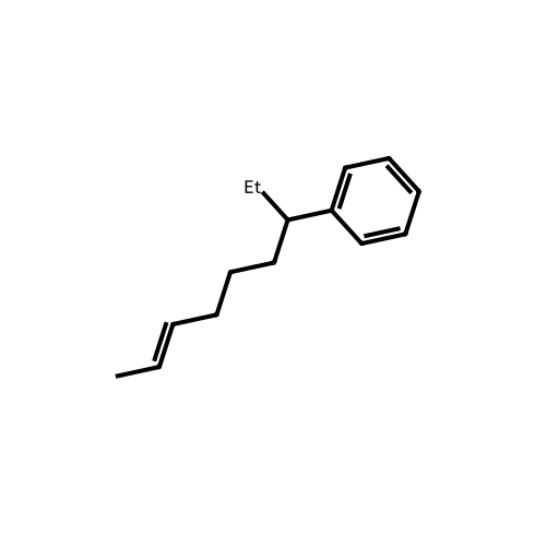 CC=CCCCC(CC)c1ccccc1